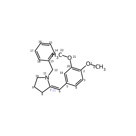 COc1ccc(/C=C2/CCCN2Cc2ccccc2)cc1OC